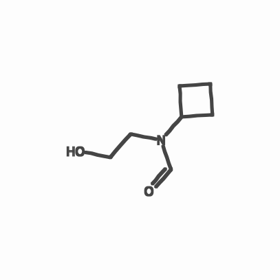 O=CN(CCO)C1CCC1